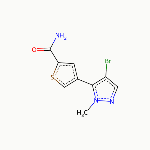 Cn1ncc(Br)c1-c1csc(C(N)=O)c1